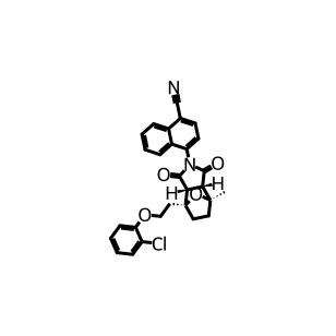 C[C@]12CC[C@](CCOc3ccccc3Cl)(O1)[C@@H]1C(=O)N(c3ccc(C#N)c4ccccc34)C(=O)[C@@H]12